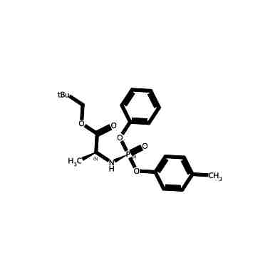 Cc1ccc(O[P@](=O)(N[C@@H](C)C(=O)OCC(C)(C)C)Oc2ccccc2)cc1